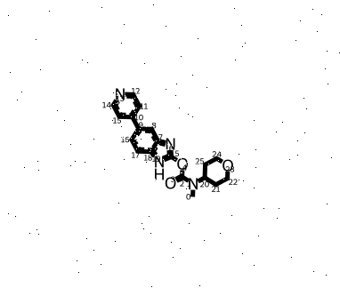 CN(C(=O)Oc1nc2cc(-c3ccncc3)ccc2[nH]1)C1CCOCC1